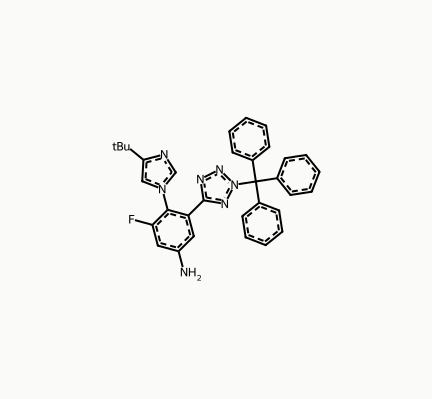 CC(C)(C)c1cn(-c2c(F)cc(N)cc2-c2nnn(C(c3ccccc3)(c3ccccc3)c3ccccc3)n2)cn1